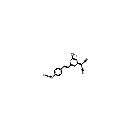 CC1=CC(=C(C#N)C#N)C=C(/C=C/c2ccc(N=[N+]=[N-])cc2)O1